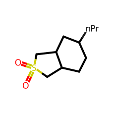 CCCC1CCC2CS(=O)(=O)CC2C1